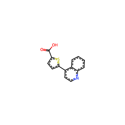 O=C(O)c1ccc(-c2ccnc3ccccc23)s1